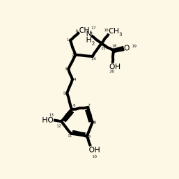 CCC(CCCc1ccc(O)cc1O)CC(C)(N)C(=O)O